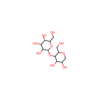 OCC1OCC(O)C(O)C1O[C@@H]1OC(CO)[C@H](O)C(O)C1O